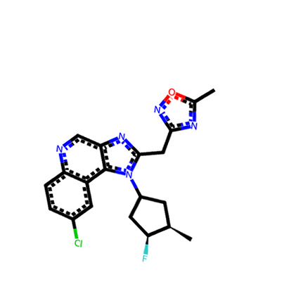 Cc1nc(Cc2nc3cnc4ccc(Cl)cc4c3n2C2C[C@@H](C)[C@@H](F)C2)no1